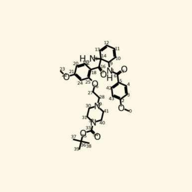 COc1ccc(C(=O)NC2C=CC=CC2(N)C(=O)c2ccc(OC)cc2OCCN2CCN(C(=O)OC(C)(C)C)CC2)cc1